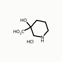 Cl.O=C(O)C1(O)CCCNC1